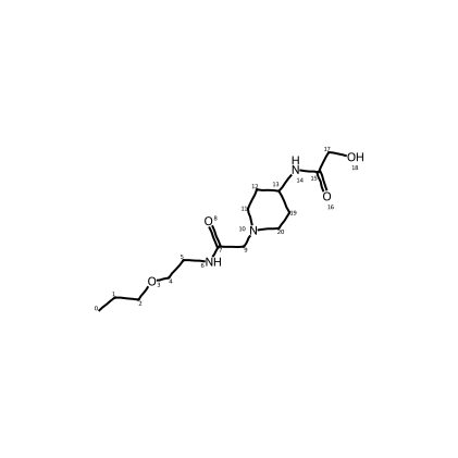 CCCOCCNC(=O)CN1CCC(NC(=O)CO)CC1